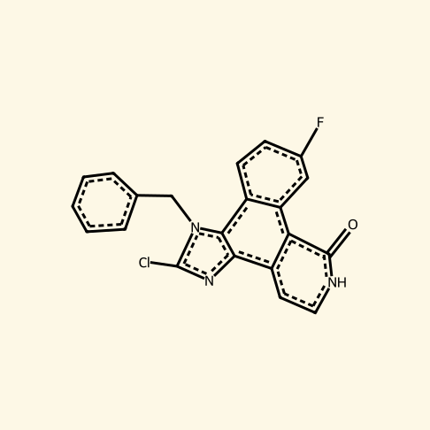 O=c1[nH]ccc2c3nc(Cl)n(Cc4ccccc4)c3c3ccc(F)cc3c12